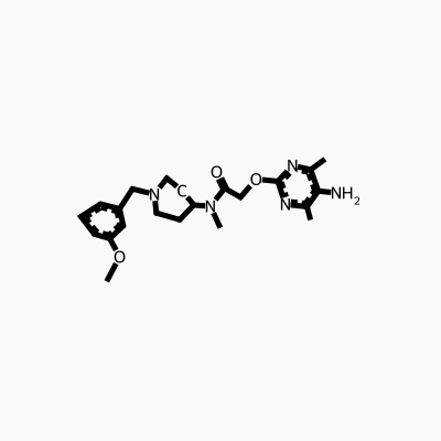 COc1cccc(CN2CCC(N(C)C(=O)COc3nc(C)c(N)c(C)n3)CC2)c1